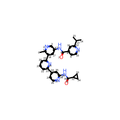 Cc1ncc(NC(=O)c2ccnc(C(C)C)c2)cc1-c1cccc(-c2ccnc(NC(=O)C3CC3)c2)n1